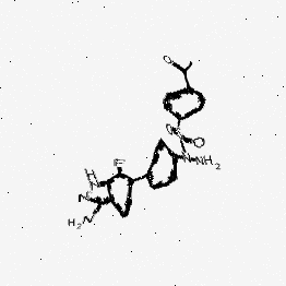 CC(=O)c1ccc(S(=O)(=O)N(N)c2ccc(-c3ccc4c(N)n[nH]c4c3F)cc2)cc1